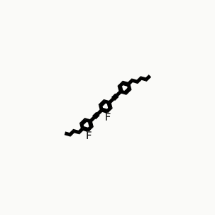 CCCCCc1ccc(C#Cc2ccc(C#Cc3ccc(CCCC)c(F)c3)c(F)c2)cc1